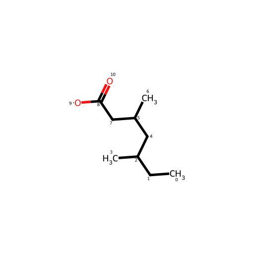 CCC(C)CC(C)CC([O])=O